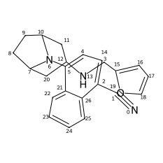 N#Cc1ccc(N2C3CCC2CC(NCc2ccco2)C3)c2ccccc12